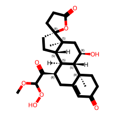 COC(OO)C(=O)[C@@H]1CC2=CC(=O)CC[C@]2(C)[C@@H]2[C@@H]1[C@@H]1CC[C@@]3(CCC(=O)O3)[C@@]1(C)C[C@H]2O